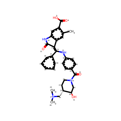 Cc1cc2c(cc1C(=O)O)NC(=O)/C2=C(/Nc1ccc(C(=O)N2CC[C@@H](CN(C)C)[C@H](O)C2)cc1)c1ccccc1